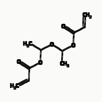 C=CC(=O)OC(C)OC(C)OC(=O)C=C